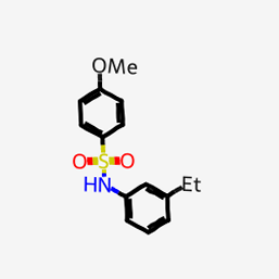 CCc1cccc(NS(=O)(=O)c2ccc(OC)cc2)c1